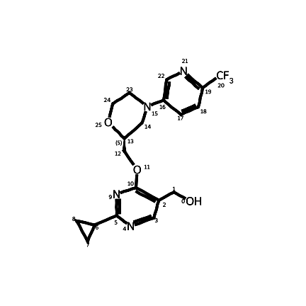 OCc1cnc(C2CC2)nc1OC[C@@H]1CN(c2ccc(C(F)(F)F)nc2)CCO1